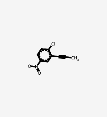 CC#Cc1cc([N+](=O)[O-])ccc1Cl